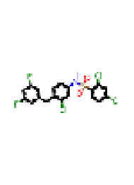 O=S(=O)(Nc1ccc(Cc2cc(F)cc(F)c2)c(Cl)c1)c1ccc(Cl)cc1Cl